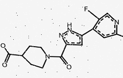 Cc1cc(-c2cc(C(=O)N3CCC(C(=O)O)CC3)n[nH]2)c(F)cn1